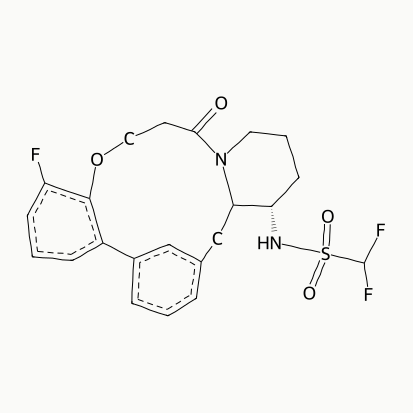 O=C1CCOc2c(F)cccc2-c2cccc(c2)CC2[C@@H](NS(=O)(=O)C(F)F)CCCN12